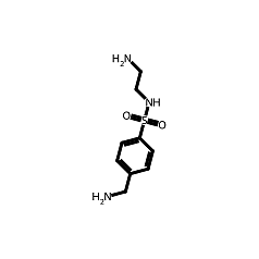 NCCNS(=O)(=O)c1ccc(CN)cc1